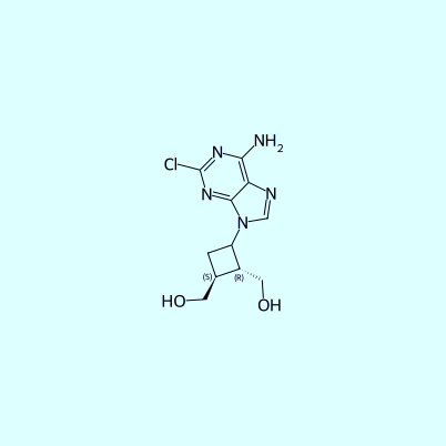 Nc1nc(Cl)nc2c1ncn2C1C[C@H](CO)[C@H]1CO